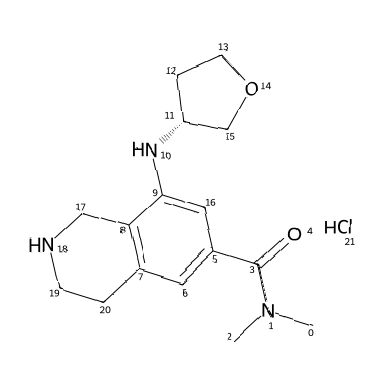 CN(C)C(=O)c1cc2c(c(N[C@@H]3CCOC3)c1)CNCC2.Cl